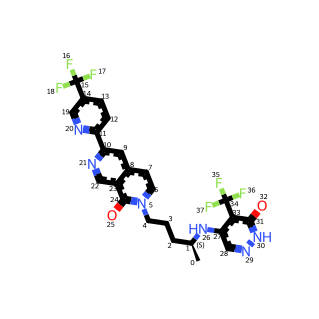 C[C@@H](CCCn1ccc2cc(-c3ccc(C(F)(F)F)cn3)ncc2c1=O)Nc1cn[nH]c(=O)c1C(F)(F)F